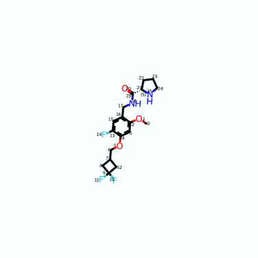 COc1cc(OCC2CC(F)(F)C2)c(F)cc1CNC(=O)[C@@H]1CCCN1